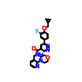 O=C(NCc1cccnc1N1CCOCC1)c1cnnc(-c2ccc(OCC3CC3)c(F)c2)c1